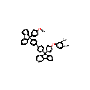 CCOc1ccc(C2(c3ccc(-c4ccc(C5(c6ccc(Oc7ccc(C(C)=O)c(C(C)=O)c7)cc6)C6=C(C=CCC=C6)c6ccccc65)cc4)cc3)c3ccccc3-c3ccccc32)cc1